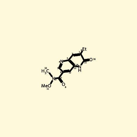 CCc1cc2ncc(C(=O)N(C)OC)cc2[nH]c1=O